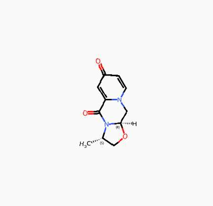 C[C@H]1CO[C@@H]2Cn3ccc(=O)cc3C(=O)N12